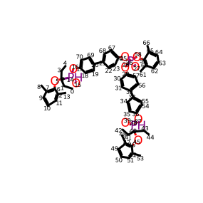 CCC(CC)(Oc1c(C)cccc1C)[PH](=O)Oc1ccc(-c2ccc(OP(=O)(Oc3ccc(-c4ccc(O[PH](=O)C(CC)(CC)Oc5c(C)cccc5C)cc4)cc3)Oc3c(C)cccc3C)cc2)cc1